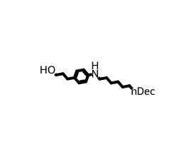 CCCCCCCCCCCCCCCCNc1ccc(CCCO)cc1